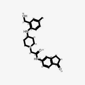 Cc1ccc(NC2CCN(CC(=O)Nc3ccc4c(c3)CCC4=O)CC2)c(CO)c1